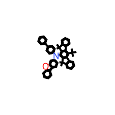 CC(C)(C)c1c2c(c(N(c3ccc(-c4ccccc4)cc3)c3ccc4c(c3)oc3ccccc34)c3c1-c1ccccc1C3(C)C)C(C)(C)c1ccccc1-2